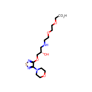 O=C(O)COCCOCCNC[C@H](O)COc1nsnc1N1CCOCC1